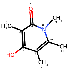 Cc1c(O)c(C)c(=O)n(C)c1C